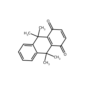 CC1(C)C2=C(C(=O)C=CC2=O)C(C)(C)c2ccccc21